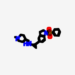 CN1CCC(CNC2=C(c3ccc4c(c3)CCN4S(=O)(=O)c3ccccc3)C2)CC1